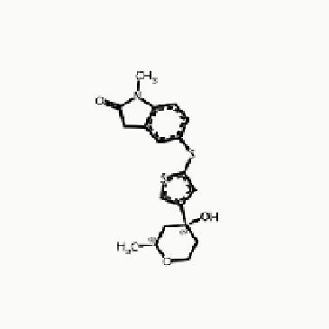 C[C@H]1C[C@](O)(c2csc(Sc3ccc4c(c3)CC(=O)N4C)c2)CCO1